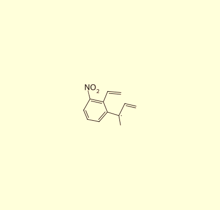 C=C[C](C)c1cccc([N+](=O)[O-])c1C=C